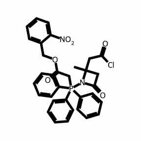 CC1(CC(=O)Cl)CC(=O)N1P(CC(=O)OCc1ccccc1[N+](=O)[O-])(c1ccccc1)(c1ccccc1)c1ccccc1